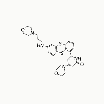 O=c1cc(N2CCOCC2)cc(-c2cccc3c2Sc2ccc(NCCCN4CCOCC4)cc2S3)[nH]1